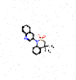 CC1(C)CS(=O)(=O)N(c2cnc3ccccc3c2)c2ccccc21